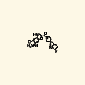 N#CC1(Cc2ccc(F)cc2)CCN(C(=O)C2CNc3cc(Cl)c(NN)cc3O2)CC1